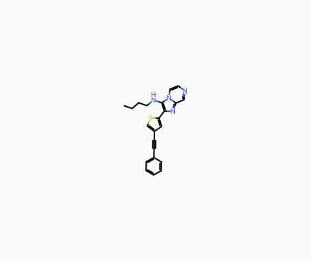 CCCCNc1c(-c2cc(C#Cc3ccccc3)cs2)nc2cnccn12